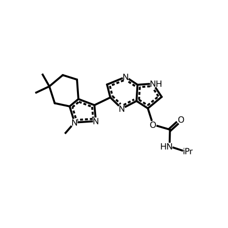 CC(C)NC(=O)Oc1c[nH]c2ncc(-c3nn(C)c4c3CCC(C)(C)C4)nc12